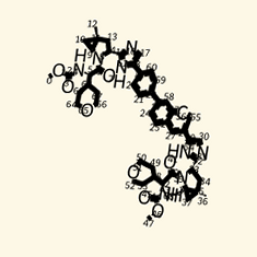 COC(=O)N[C@H](C(=O)N1C2C[C@]2(C)C[C@H]1c1ncc(-c2ccc(-c3ccc4cc(-c5cnc([C@@H]6C[C@@]7(C)C[C@H]7N6C(=O)[C@@H](NC(=O)OC)C6CCOCC6)[nH]5)ccc4c3)cc2)[nH]1)C1CCOCC1